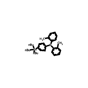 CCC[CH2][Sn]([CH2]CCC)([CH2]CCC)[c]1ccc(N(c2ccccc2C)c2ccccc2C)cc1